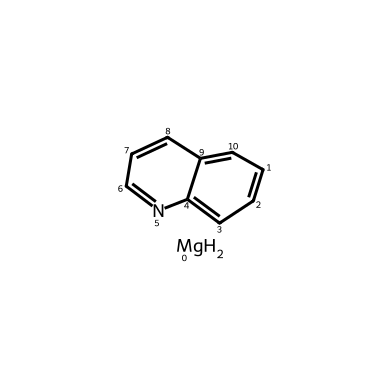 [MgH2].c1ccc2ncccc2c1